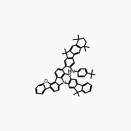 CC(C)(C)c1ccc(Nc2cc3c(cc2-c2ccc4c5c6oc7ccccc7c6ccc5n5c4c2Bc2cc4c(cc2-5)C(C)(C)c2ccccc2-4)C(C)(C)c2cc4c(cc2-3)C(C)(C)CCC4(C)C)cc1